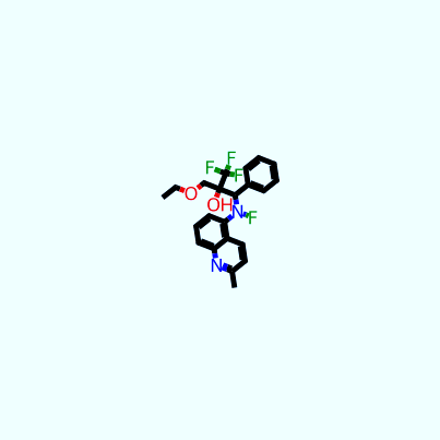 CCOCC(O)(C(c1ccccc1)N(F)c1cccc2nc(C)ccc12)C(F)(F)F